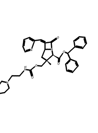 CN1CCN(CCNC(=O)OC[C@]2(C)CC3/C(=C\c4ccccn4)C(=O)N3[C@H]2C(=O)OC(c2ccccc2)c2ccccc2)CC1